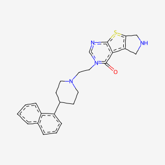 O=c1c2c3c(sc2ncn1CCN1CCC(c2cccc4ccccc24)CC1)CNC3